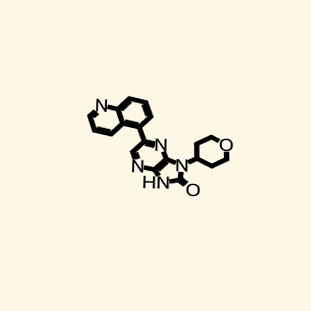 O=c1[nH]c2ncc(-c3cccc4ncccc34)nc2n1C1CCOCC1